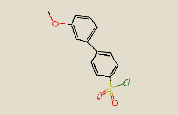 COc1cccc(-c2ccc(S(=O)(=O)Cl)cc2)c1